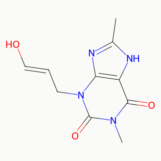 Cc1nc2c([nH]1)c(=O)n(C)c(=O)n2CC=CO